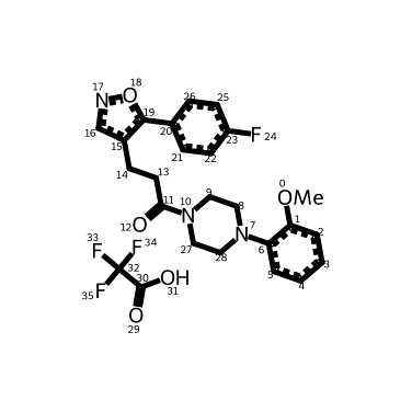 COc1ccccc1N1CCN(C(=O)CCc2cnoc2-c2ccc(F)cc2)CC1.O=C(O)C(F)(F)F